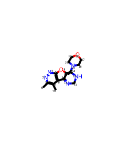 Cc1nnc2oc3c(c2c1C)=NCNC=3N1CCOCC1